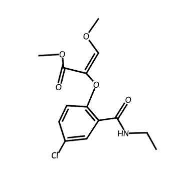 CCNC(=O)c1cc(Cl)ccc1O/C(=C/OC)C(=O)OC